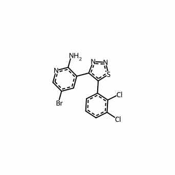 Nc1ncc(Br)cc1-c1nnsc1-c1cccc(Cl)c1Cl